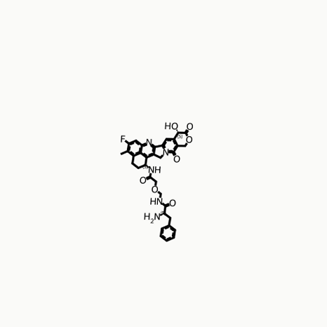 Cc1c(F)cc2nc3c(c4c2c1CC[C@@H]4NC(=O)COCNC(=O)[C@H](N)Cc1ccccc1)Cn1c-3cc2c(c1=O)COC(=O)[C@H]2O